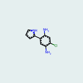 Nc1cc(-c2ccc[nH]2)c(N)cc1Cl